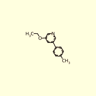 CCOc1cncc(-c2ccc(C)cc2)c1